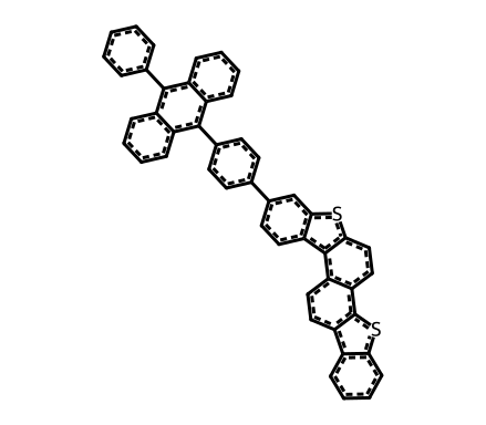 c1ccc(-c2c3ccccc3c(-c3ccc(-c4ccc5c(c4)sc4ccc6c(ccc7c8ccccc8sc76)c45)cc3)c3ccccc23)cc1